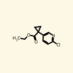 CCOC(=O)C1(c2ccc(Cl)nc2)CC1